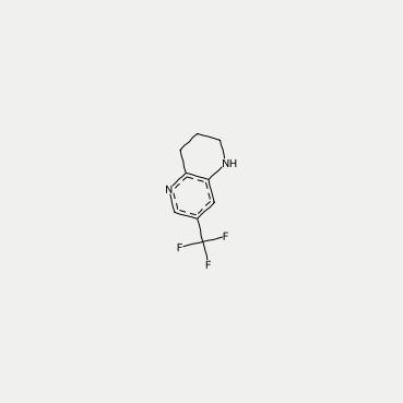 FC(F)(F)c1cnc2c(c1)NCCC2